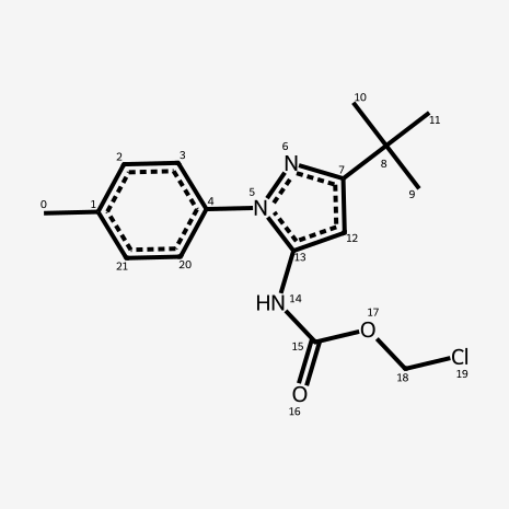 Cc1ccc(-n2nc(C(C)(C)C)cc2NC(=O)OCCl)cc1